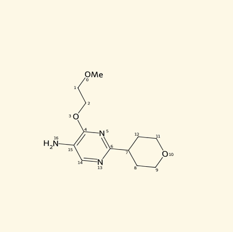 COCCOc1nc(C2CCOCC2)ncc1N